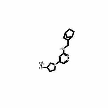 CN[C@@H]1CCN(c2cnnc(NCC3CC4CCC3C4)c2)C1